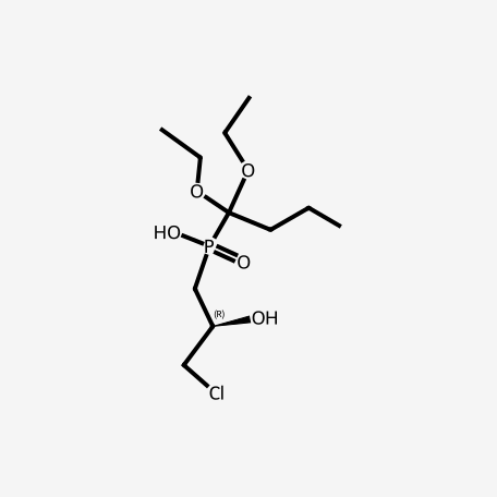 CCCC(OCC)(OCC)P(=O)(O)C[C@@H](O)CCl